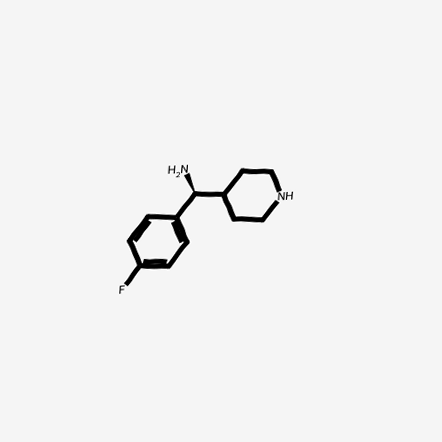 N[C@H](c1ccc(F)cc1)C1CCNCC1